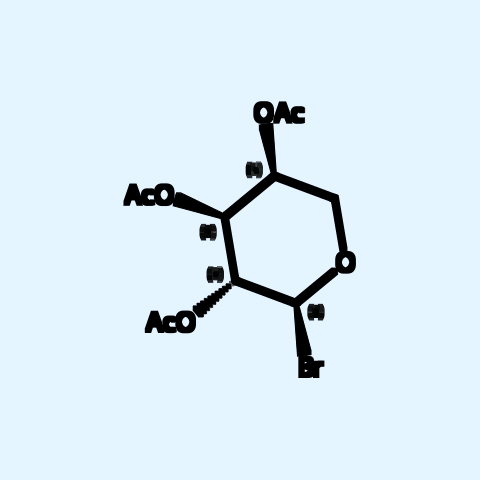 CC(=O)O[C@@H]1[C@@H](OC(C)=O)[C@@H](OC(C)=O)CO[C@H]1Br